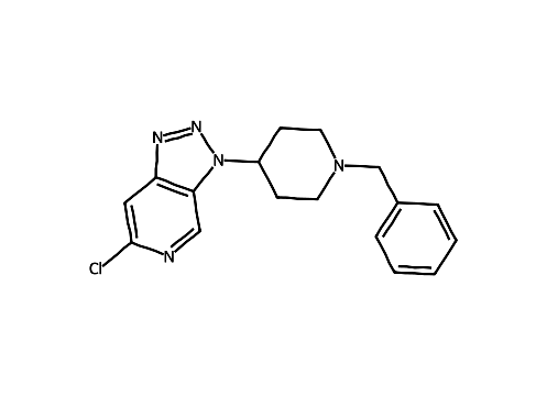 Clc1cc2nnn(C3CCN(Cc4ccccc4)CC3)c2cn1